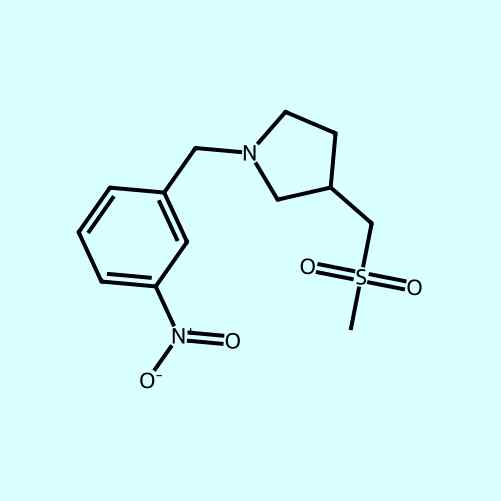 CS(=O)(=O)CC1CCN(Cc2cccc([N+](=O)[O-])c2)C1